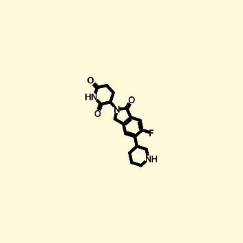 O=C1CCC(N2Cc3cc(C4CCCNC4)c(F)cc3C2=O)C(=O)N1